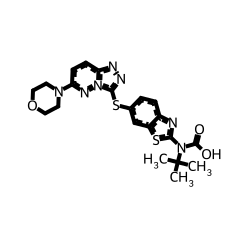 CC(C)(C)N(C(=O)O)c1nc2ccc(Sc3nnc4ccc(N5CCOCC5)nn34)cc2s1